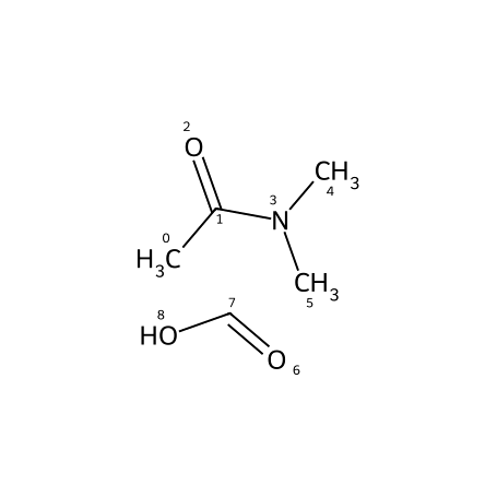 CC(=O)N(C)C.O=CO